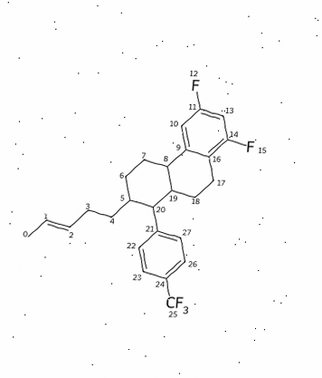 CC=CCCC1CCC2c3cc(F)cc(F)c3CCC2C1c1ccc(C(F)(F)F)cc1